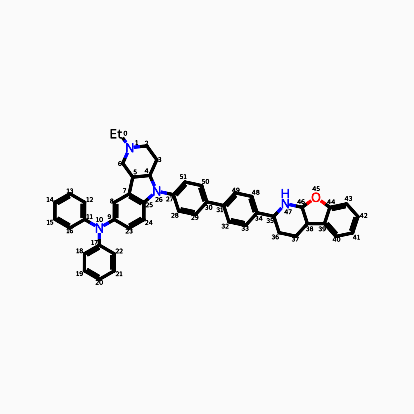 CCN1CCC2C(C1)c1cc(N(c3ccccc3)c3ccccc3)ccc1N2c1ccc(-c2ccc(C3CCC4c5ccccc5OC4N3)cc2)cc1